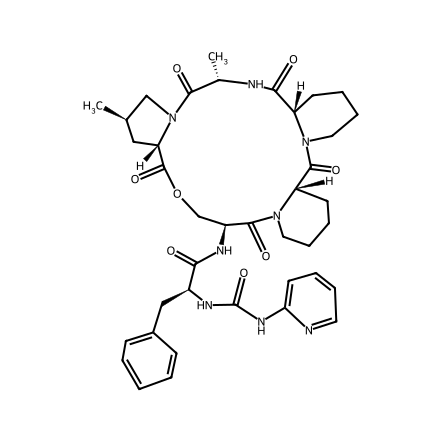 C[C@@H]1C[C@H]2C(=O)OC[C@H](NC(=O)[C@H](Cc3ccccc3)NC(=O)Nc3ccccn3)C(=O)N3CCCC[C@H]3C(=O)N3CCCC[C@H]3C(=O)N[C@@H](C)C(=O)N2C1